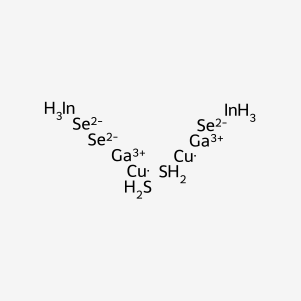 S.S.[Cu].[Cu].[Ga+3].[Ga+3].[InH3].[InH3].[Se-2].[Se-2].[Se-2]